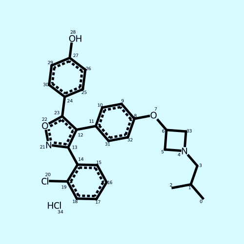 CC(C)CN1CC(Oc2ccc(-c3c(-c4ccccc4Cl)noc3-c3ccc(O)cc3)cc2)C1.Cl